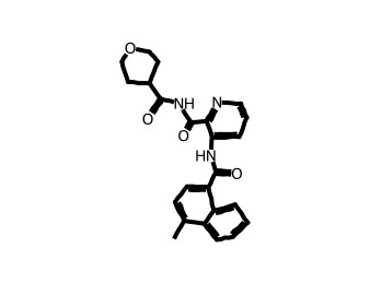 Cc1ccc(C(=O)Nc2cccnc2C(=O)NC(=O)C2CCOCC2)c2ccccc12